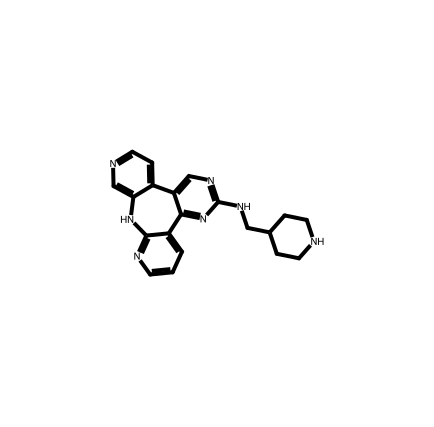 c1cnc2c(c1)-c1nc(NCC3CCNCC3)ncc1-c1ccncc1N2